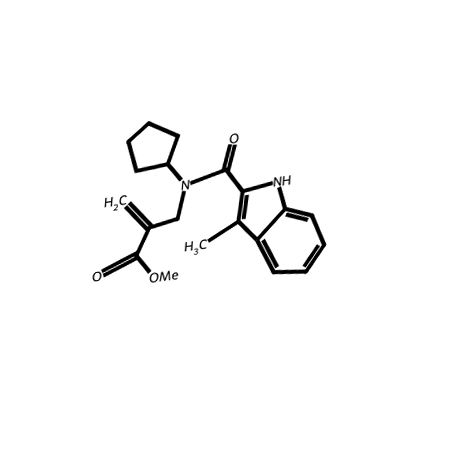 C=C(CN(C(=O)c1[nH]c2ccccc2c1C)C1CCCC1)C(=O)OC